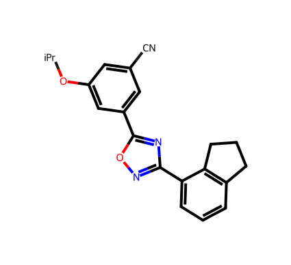 CC(C)Oc1cc(C#N)cc(-c2nc(-c3cccc4c3CCC4)no2)c1